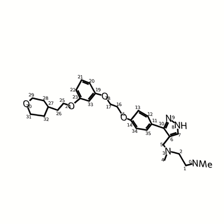 CNCCN(C)Cc1c[nH]nc1-c1ccc(OCCOc2cccc(OCCC3CCOCC3)c2)cc1